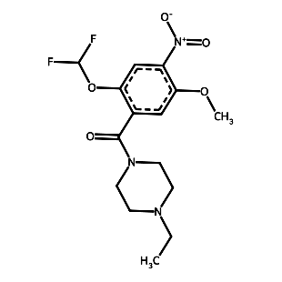 CCN1CCN(C(=O)c2cc(OC)c([N+](=O)[O-])cc2OC(F)F)CC1